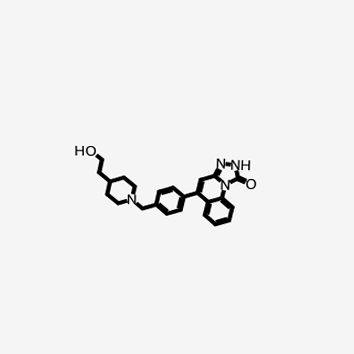 O=c1[nH]nc2cc(-c3ccc(CN4CCC(CCO)CC4)cc3)c3ccccc3n12